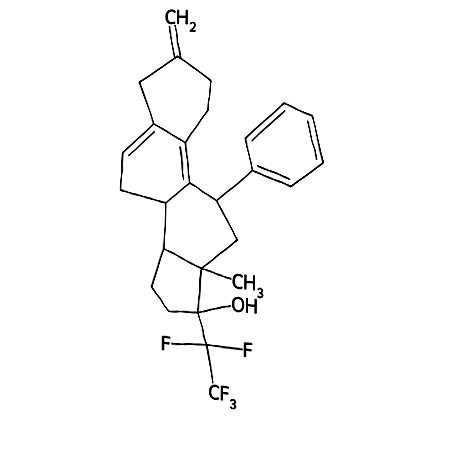 C=C1CCC2=C3C(c4ccccc4)CC4(C)C(CCC4(O)C(F)(F)C(F)(F)F)C3CC=C2C1